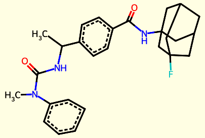 CC(NC(=O)N(C)c1ccccc1)c1ccc(C(=O)NC23CC4CC(CC(F)(C4)C2)C3)cc1